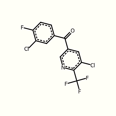 O=C(c1ccc(F)c(Cl)c1)c1cnc(C(F)(F)F)c(Cl)c1